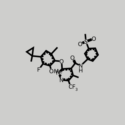 COc1c(F)c(C2(C)CC2)cc(C)c1Oc1nnc(C(F)(F)F)c(C)c1C(=O)Nc1cccc(S(C)(=O)=O)c1